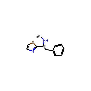 [CH2]CCN[C@@H](Cc1ccccc1)c1nccs1